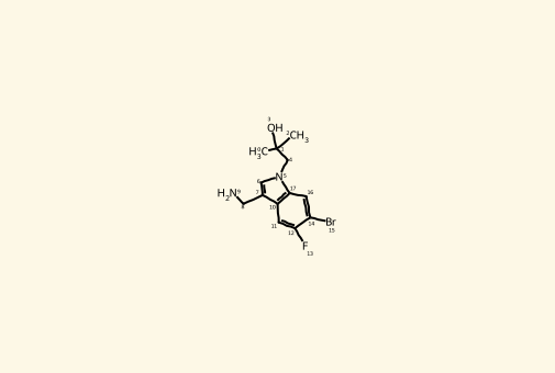 CC(C)(O)Cn1cc(CN)c2cc(F)c(Br)cc21